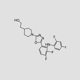 OCCC1CCN(c2nnc(-c3ccc(F)c(F)c3Nc3ccc(I)cc3F)o2)CC1